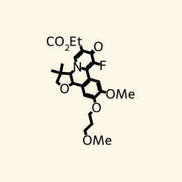 CCOC(=O)c1cn2c(c(F)c1=O)-c1cc(OC)c(OCCCOC)cc1C1OCC(C)(C)C12